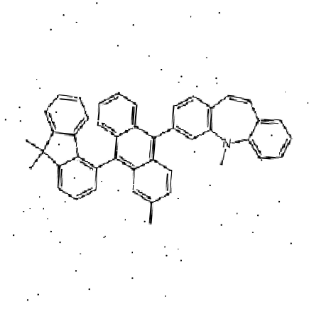 Cc1ccc2c(-c3ccc4c(c3)N(C)c3ccccc3C=C4)c3ccccc3c(-c3cccc4c3-c3ccccc3C4(C)C)c2c1